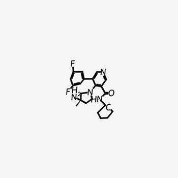 C[C@]1(N)CCN(c2c(C(=O)NC3CCCCC3)cncc2-c2cc(F)cc(F)c2)C1